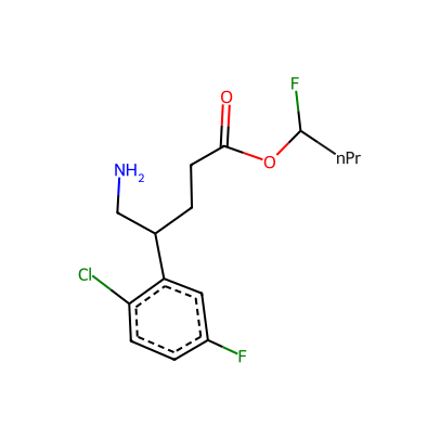 CCCC(F)OC(=O)CCC(CN)c1cc(F)ccc1Cl